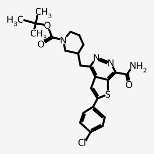 CC(C)(C)OC(=O)N1CCCC(Cc2nnc(C(N)=O)c3sc(-c4ccc(Cl)cc4)cc23)C1